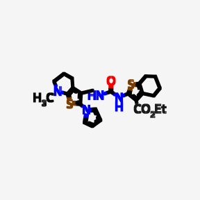 CCOC(=O)c1c(NC(=O)NCc2c(-n3cccc3)sc3c2CCCN3C)sc2c1CCCC2